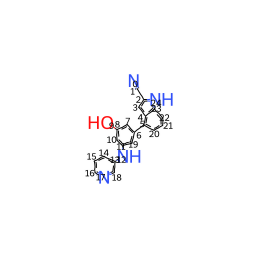 N#Cc1cc2c(-c3cc(O)cc(Nc4cccnc4)c3)cccc2[nH]1